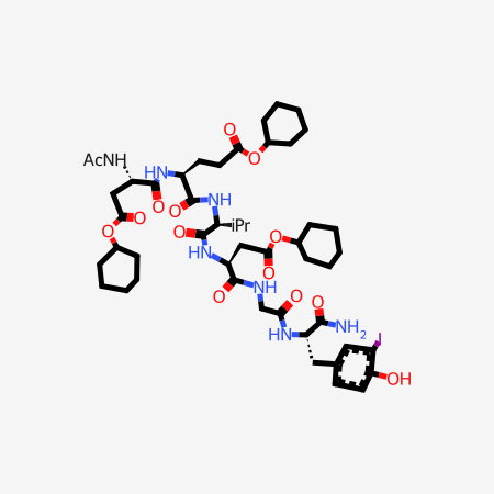 CC(=O)N[C@@H](CC(=O)OC1CCCCC1)C(=O)N[C@@H](CCC(=O)OC1CCCCC1)C(=O)N[C@H](C(=O)N[C@@H](CC(=O)OC1CCCCC1)C(=O)NCC(=O)N[C@@H](Cc1ccc(O)c(I)c1)C(N)=O)C(C)C